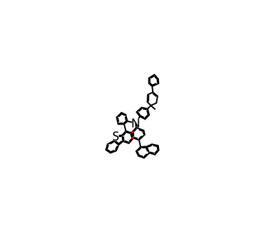 CC1(c2ccc(N(c3ccc(-c4cccc5ccccc45)cc3)c3ccccc3-c3cccc4c3sc3ccccc34)cc2)C=CC(c2ccccc2)=CC1